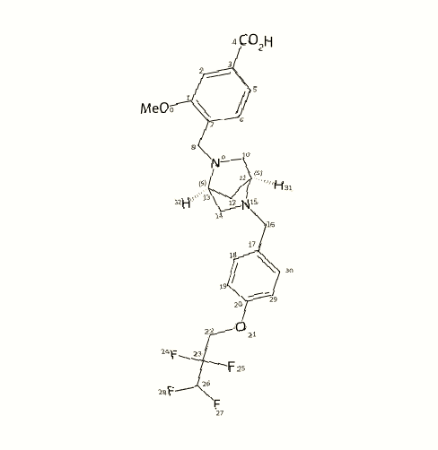 COc1cc(C(=O)O)ccc1CN1C[C@@H]2C[C@H]1CN2Cc1ccc(OCC(F)(F)C(F)F)cc1